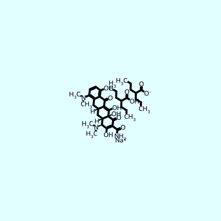 CCCC(CCC)C(=O)O.CCCC(CCC)C(=O)[O-].CN(C)c1ccc(O)c2c1C[C@H]1C[C@H]3[C@H](N(C)C)C(O)=C(C(N)=O)C(=O)[C@@]3(O)C(O)=C1C2=O.[Na+]